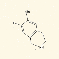 CC(C)(C)c1cc2c(cc1F)CNCC2